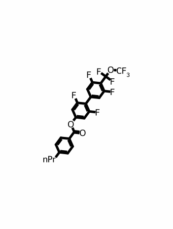 CCCc1ccc(C(=O)Oc2cc(F)c(-c3cc(F)c(C(F)(F)OC(F)(F)F)c(F)c3)c(F)c2)cc1